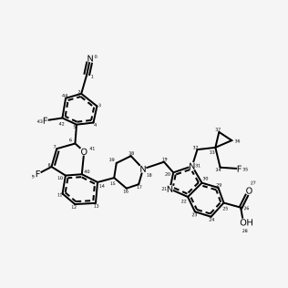 N#Cc1ccc(C2C=C(F)c3cccc(C4CCN(Cc5nc6ccc(C(=O)O)cc6n5CC5(CF)CC5)CC4)c3O2)c(F)c1